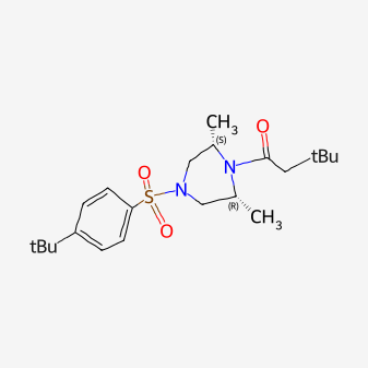 C[C@@H]1CN(S(=O)(=O)c2ccc(C(C)(C)C)cc2)C[C@H](C)N1C(=O)CC(C)(C)C